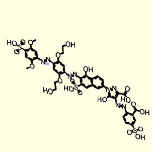 COc1cc(S(=O)(=O)O)c(OC)cc1/N=N/c1cc(OCCO)c(/N=N/c2c(S(=O)(=O)O)cc3cc(-n4nc(C(=O)O)c(/N=N/c5ccc(S(=O)(=O)O)cc5C(=O)O)c4O)ccc3c2O)cc1OCCO